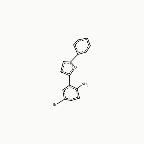 Nc1ccc(Br)cc1-c1ncc(-c2ccccc2)o1